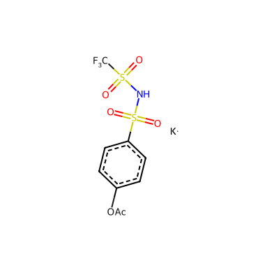 CC(=O)Oc1ccc(S(=O)(=O)NS(=O)(=O)C(F)(F)F)cc1.[K]